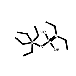 CCS(CC)=P(O)(O)SP(CC)(CC)(CC)CC